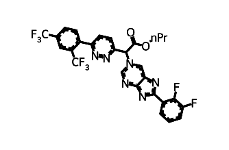 CCCOC(=O)C(c1ccc(-c2ccc(C(F)(F)F)cc2C(F)(F)F)nn1)n1cnc2nc(-c3cccc(F)c3F)nc-2c1